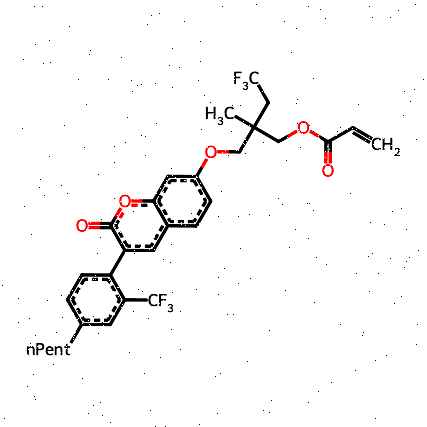 C=CC(=O)OCC(C)(COc1ccc2cc(-c3ccc(CCCCC)cc3C(F)(F)F)c(=O)oc2c1)CC(F)(F)F